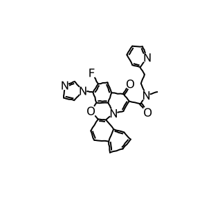 CN(CCc1ccccn1)C(=O)c1cn2c3c(c(-n4ccnc4)c(F)cc3c1=O)Oc1ccc3ccccc3c1-2